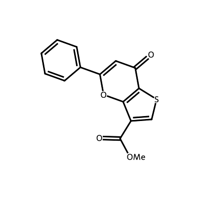 COC(=O)c1csc2c(=O)cc(-c3ccccc3)oc12